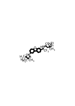 CCOC(=O)[C@H](CC(C)(C)F)N[C@@H](c1ccc2c(c1)oc1ccc(B3OC(C)(C)C(C)(C)O3)cc12)C(F)(F)F